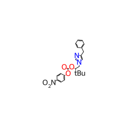 CC(C)(C)C(Cn1cnc(Cc2ccccc2)c1)OC(=O)Oc1ccc([N+](=O)[O-])cc1